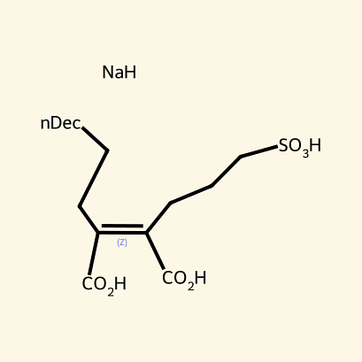 CCCCCCCCCCCC/C(C(=O)O)=C(\CCCS(=O)(=O)O)C(=O)O.[NaH]